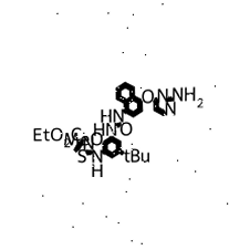 CCOC(=O)c1csc(Nc2cc(C(C)(C)C)cc(NC(=O)Nc3ccc(Oc4ccnc(N)n4)c4ccccc34)c2OC)n1